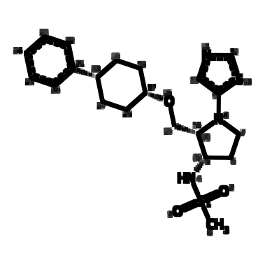 CS(=O)(=O)N[C@H]1CCN(c2cncs2)[C@H]1CO[C@H]1CC[C@@H](c2ccccc2)CC1